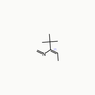 C=N/C(=C\C)C(C)(C)C